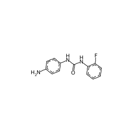 Nc1ccc(NC(=O)Nc2ccccc2F)cc1